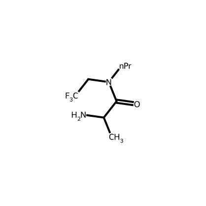 CCCN(CC(F)(F)F)C(=O)C(C)N